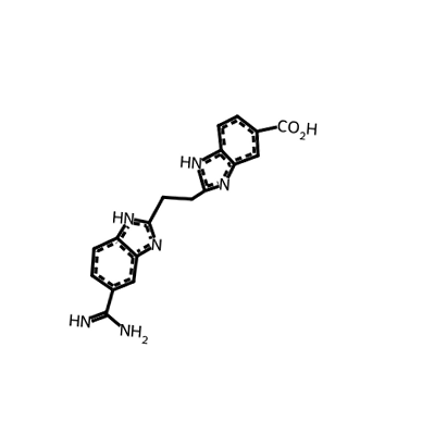 N=C(N)c1ccc2[nH]c(CCc3nc4cc(C(=O)O)ccc4[nH]3)nc2c1